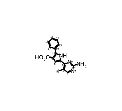 Nc1ncc(I)c(-c2cc(C(=O)O)c(-c3ccccc3)[nH]2)n1